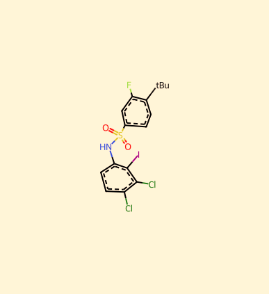 CC(C)(C)c1ccc(S(=O)(=O)Nc2ccc(Cl)c(Cl)c2I)cc1F